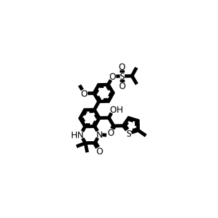 COc1cc(OS(=O)(=O)C(C)C)ccc1-c1ccc2c(c1C(O)C(=O)c1ccc(C)s1)N(C)C(=O)C(C)(C)N2